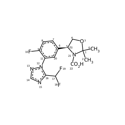 CC1(C)OC[C@H](c2ccc(F)c(-n3ncnc3C(F)F)c2)N1C(=O)O